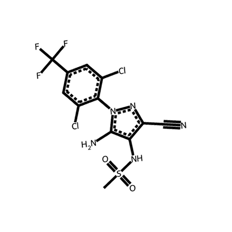 CS(=O)(=O)Nc1c(C#N)nn(-c2c(Cl)cc(C(F)(F)F)cc2Cl)c1N